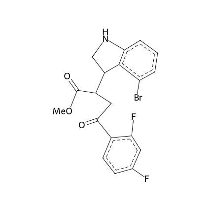 COC(=O)C(CC(=O)c1ccc(F)cc1F)C1CNc2cccc(Br)c21